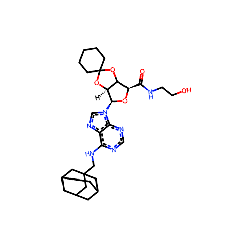 O=C(NCCO)[C@H]1O[C@@H](n2cnc3c(NCC45CC6CC(CC(C6)C4)C5)ncnc32)[C@H]2OC3(CCCCC3)OC12